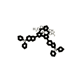 CC1(C)c2cccc3c2-n2c4c1cc(-c1ccc5cc(N(c6ccccc6)c6ccccc6)ccc5c1)cc4c1cc(-c4ccc5cc(N(c6ccccc6)c6ccccc6)ccc5c4)cc(c12)C3(C)C